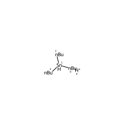 CCC[CH2][SnH]([CH2]CCC)[CH2]CCC.[H+]